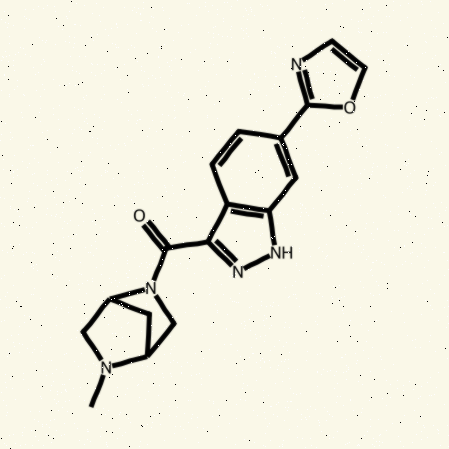 CN1CC2CC1CN2C(=O)c1n[nH]c2cc(-c3ncco3)ccc12